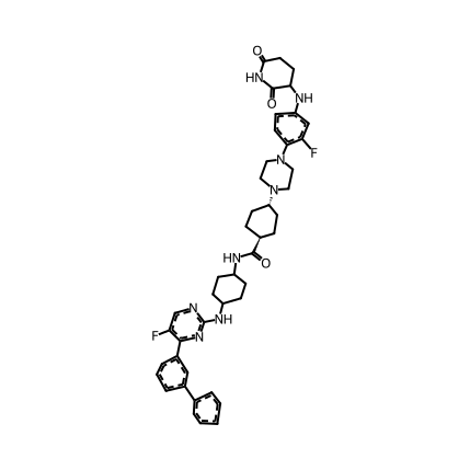 O=C1CCC(Nc2ccc(N3CCN([C@H]4CC[C@H](C(=O)NC5CCC(Nc6ncc(F)c(-c7cccc(-c8ccccc8)c7)n6)CC5)CC4)CC3)c(F)c2)C(=O)N1